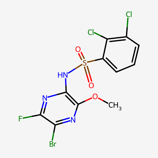 COc1nc(Br)c(F)nc1NS(=O)(=O)c1cccc(Cl)c1Cl